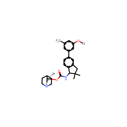 CCOc1cc(-c2ccc3c(c2)CC(C)(C)C3NC(=O)O[C@H]2CN3CCC2CC3)cc(C(F)(F)F)c1